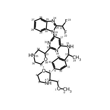 COCC1NCCO[C@@H]1c1ccc(C(C)Nc2cc(-n3c(C(F)F)nc4ccccc43)nc(C3CNCCO3)n2)cc1